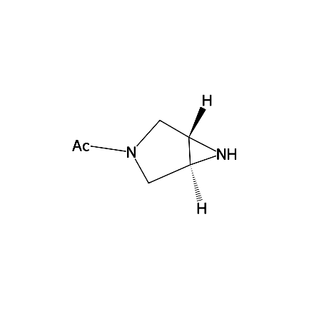 CC(=O)N1C[C@@H]2N[C@H]2C1